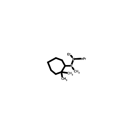 CCCN(CC)N(C)C1CCCCCC1(C)C